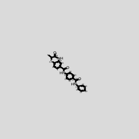 CC1Sc2ccc(C(=O)Nc3ccc(C(=O)Nc4ccccc4)cc3)cc2NC1=O